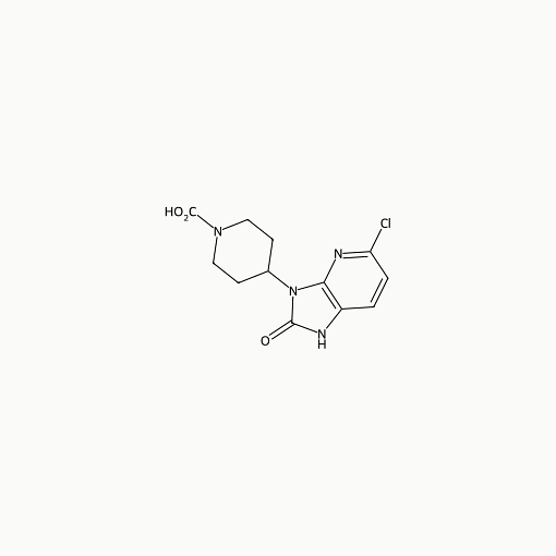 O=C(O)N1CCC(n2c(=O)[nH]c3ccc(Cl)nc32)CC1